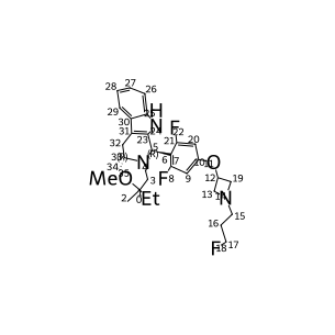 CCC(C)(CN1[C@H](c2c(F)cc(OC3CN(CCCF)C3)cc2F)c2[nH]c3ccccc3c2C[C@H]1C)OC